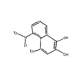 CCc1cc(O)c(O)c2cccc(N(CC)CC)c12